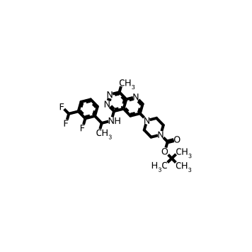 Cc1nnc(NC(C)c2cccc(C(F)F)c2F)c2cc(N3CCN(C(=O)OC(C)(C)C)CC3)cnc12